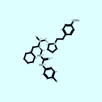 COc1ccc(CCN2CCC[C@@H]2CN(C)[C@@H](CNC(=O)Nc2ccc(C)cc2)CC2CCCCC2)cc1